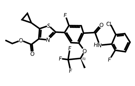 CCOC(=O)c1nc(-c2cc(O[C@@H](C)C(F)(F)F)c(C(=O)Nc3c(F)cccc3Cl)cc2F)sc1C1CC1